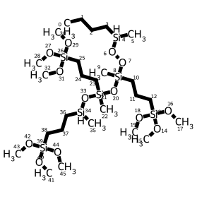 CCCC[SiH](C)OO[Si](C)(CCC[Si](OC)(OC)OC)O[Si](C)(CCC[Si](OC)(OC)OC)O[SiH](C)CCC[Si](OC)(OC)OC